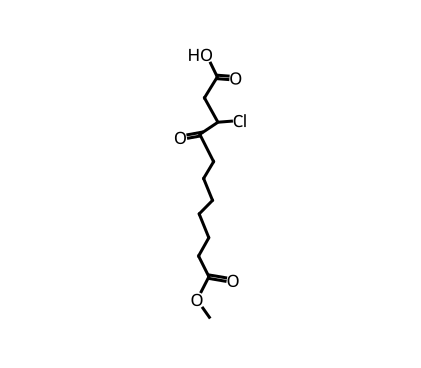 COC(=O)CCCCCCC(=O)C(Cl)CC(=O)O